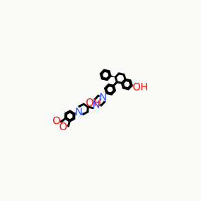 O=C1OCc2cc(N3CCC(O)(CN4CCN(c5ccc(C6c7ccc(O)cc7CC[C@@H]6c6ccccc6)cc5)CC4)CC3)ccc21